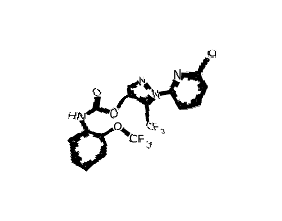 O=C(Nc1ccccc1OC(F)(F)F)Oc1cnn(-c2cccc(Cl)n2)c1C(F)(F)F